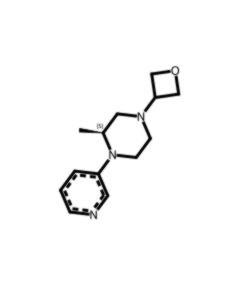 C[C@H]1CN(C2COC2)CCN1c1cccnc1